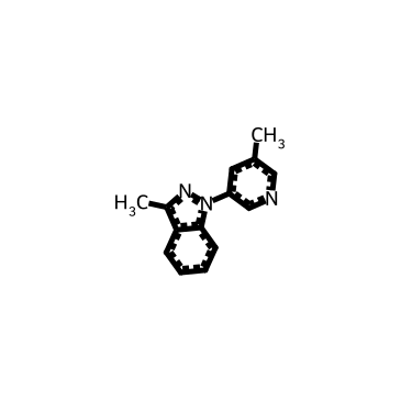 Cc1cncc(-n2nc(C)c3ccccc32)c1